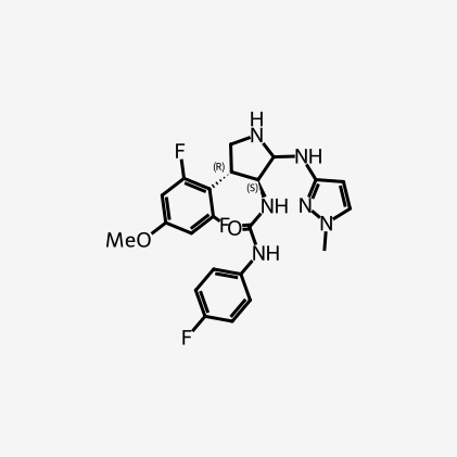 COc1cc(F)c([C@@H]2CNC(Nc3ccn(C)n3)[C@H]2NC(=O)Nc2ccc(F)cc2)c(F)c1